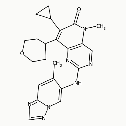 Cc1cc2ncnn2cc1Nc1ncc2c(n1)c(C1CCOCC1)c(C1CC1)c(=O)n2C